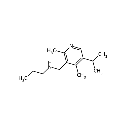 CCCNCc1c(C)ncc(C(C)C)c1C